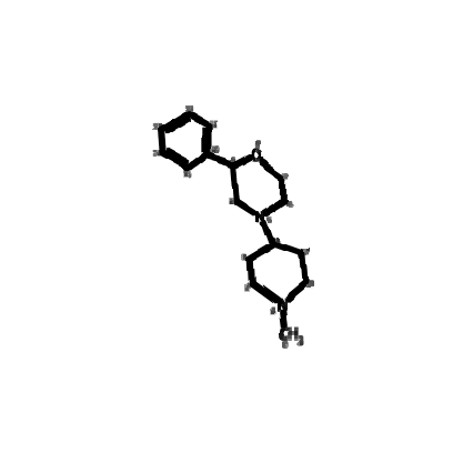 CN1CCC(N2CCOC(c3ccccc3)C2)CC1